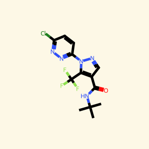 CC(C)(C)NC(=O)c1cnn(-c2ccc(Cl)nn2)c1C(F)(F)F